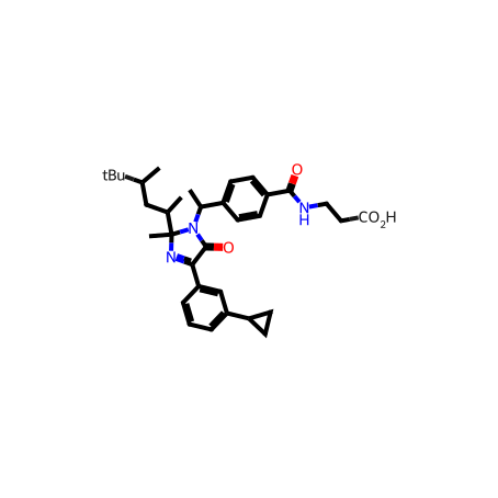 CC(c1ccc(C(=O)NCCC(=O)O)cc1)N1C(=O)C(c2cccc(C3CC3)c2)=NC1(C)C(C)CC(C)C(C)(C)C